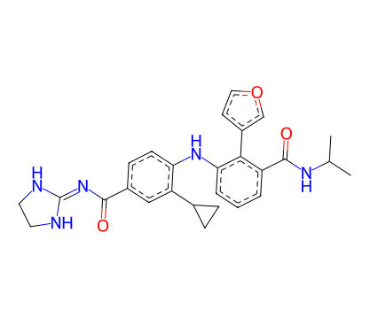 CC(C)NC(=O)c1cccc(Nc2ccc(C(=O)N=C3NCCN3)cc2C2CC2)c1-c1ccoc1